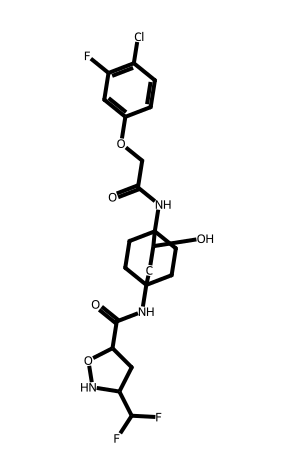 O=C(COc1ccc(Cl)c(F)c1)NC12CCC(NC(=O)C3CC(C(F)F)NO3)(CC1)CC2O